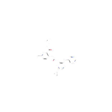 CCc1ccc(NC(=O)Oc2nc(C3CC3)cnc2Nc2cncnc2)c(C(=O)NCC(C)(C)O)n1